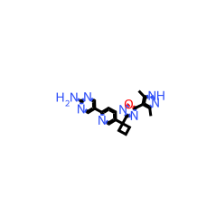 Cc1n[nH]c(C)c1-c1nc(C2(c3ccc(-c4cnc(N)nc4)nc3)CCC2)no1